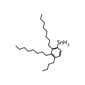 CCCCCCCCc1[c]([SnH3])ccc(CCCC)c1CCCCCCCC